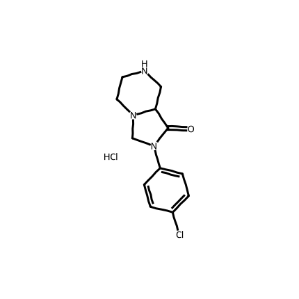 Cl.O=C1C2CNCCN2CN1c1ccc(Cl)cc1